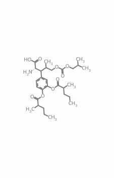 CCCC(C)C(=O)Oc1ccc(C(C(C)COC(=O)OCC(C)C)[C@H](N)C(=O)O)cc1OC(=O)C(C)CCC